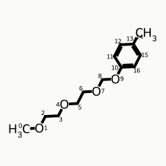 COCCOCCOCOc1ccc(C)cc1